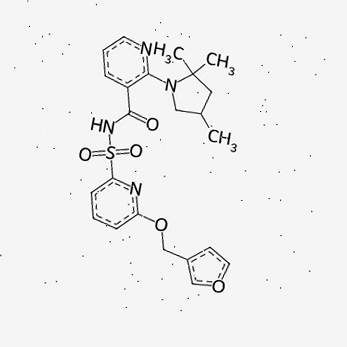 CC1CN(c2ncccc2C(=O)NS(=O)(=O)c2cccc(OCc3ccoc3)n2)C(C)(C)C1